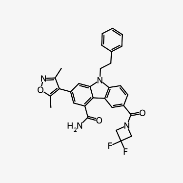 Cc1noc(C)c1-c1cc(C(N)=O)c2c3cc(C(=O)N4CC(F)(F)C4)ccc3n(CCc3ccccc3)c2c1